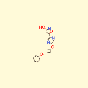 Oc1cc(-c2cnc(O[C@H]3C[C@@H](COc4ccccc4)C3)cn2)on1